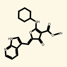 CC(C)OC(=O)C1=C(NC2CCCCC2)O/C(=C\c2c[nH]c3ncccc23)C1=O